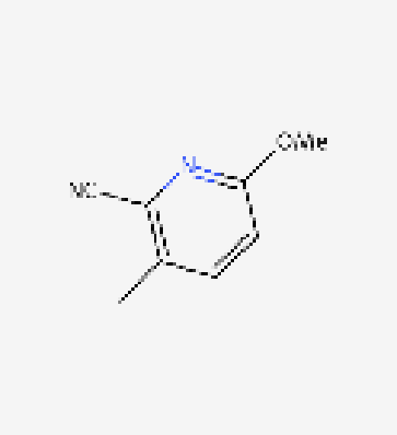 COc1ccc(C)c(C#N)n1